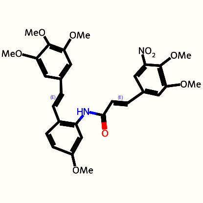 COc1ccc(/C=C/c2cc(OC)c(OC)c(OC)c2)c(NC(=O)/C=C/c2cc(OC)c(OC)c([N+](=O)[O-])c2)c1